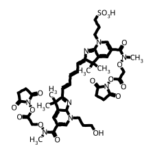 CN(OCC(=O)ON1C(=O)CCC1=O)C(=O)C1=CN(CCCS(=O)(=O)O)C2=N/C(=C/C=C/C=C/C3=NC4C(=CC(C(=O)N(C)OCC(=O)ON5C(=O)CCC5=O)=CN4CCCO)C3(C)C)C(C)(C)C2=C1